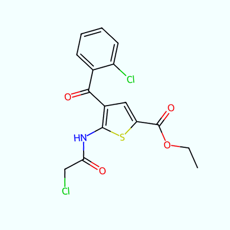 CCOC(=O)c1cc(C(=O)c2ccccc2Cl)c(NC(=O)CCl)s1